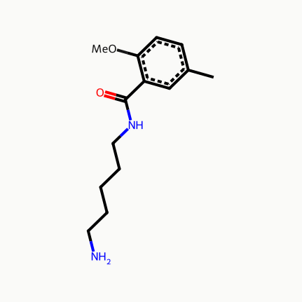 COc1ccc(C)cc1C(=O)NCCCCCN